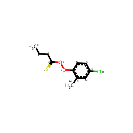 CCCC(=S)OOc1ccc(Cl)cc1C